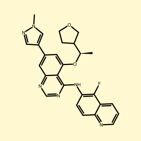 C[C@@H](Oc1cc(-c2cnn(C)c2)cc2ncnc(Nc3ccc4ncccc4c3F)c12)C1CCOC1